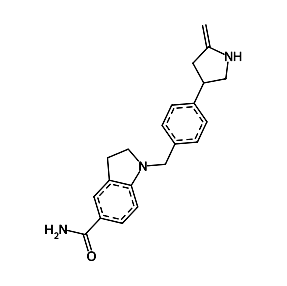 C=C1CC(c2ccc(CN3CCc4cc(C(N)=O)ccc43)cc2)CN1